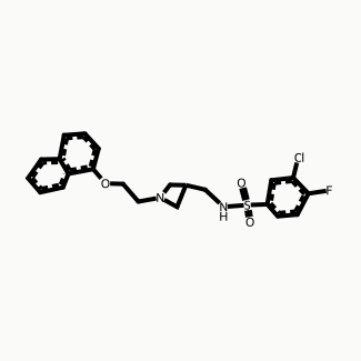 O=S(=O)(NCC1CN(CCOc2cccc3ccccc23)C1)c1ccc(F)c(Cl)c1